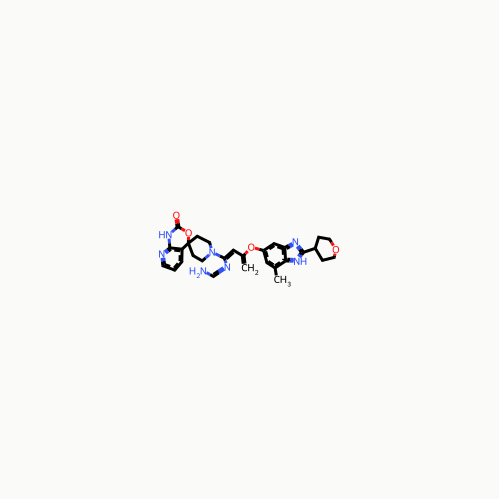 C=C(/C=C(\N=C/N)N1CCC2(CC1)OC(=O)Nc1ncccc12)Oc1cc(C)c2[nH]c(C3CCOCC3)nc2c1